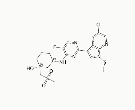 CS(=O)(=O)C[C@@]1(O)CCC[C@H](Nc2nc(-c3cn(SI)c4ncc(Cl)cc34)ncc2F)C1